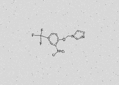 O=[N+]([O-])c1cc(C(F)(F)F)ccc1OCn1ccnc1